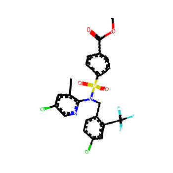 COC(=O)c1ccc(S(=O)(=O)N(Cc2ccc(Cl)cc2C(F)(F)F)c2ncc(Cl)cc2C)cc1